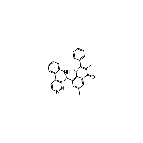 Cc1cc([C@@H](C)Nc2ccccc2-c2ccnnc2)c2oc(-c3ccccc3)c(C)c(=O)c2c1